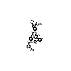 CC(C)(C)OC(=O)c1cc2cc(NC(=O)C(Cc3ccc(NC(=O)N4CCO[C@H](CO)C4)cc3)N3CCN(c4cc(Cl)ccc4-n4cnnn4)C(=O)C3=O)ccc2n1C(=O)OC(C)(C)C